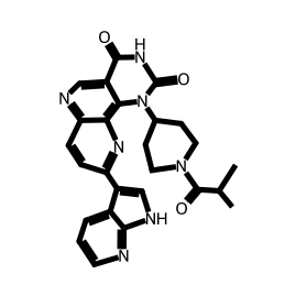 CC(C)C(=O)N1CCC(n2c(=O)[nH]c(=O)c3cnc4ccc(-c5c[nH]c6ncccc56)nc4c32)CC1